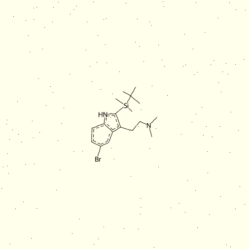 CN(C)CCc1c([Si](C)(C)C(C)(C)C)[nH]c2ccc(Br)cc12